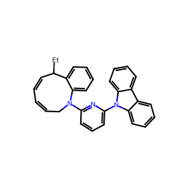 CCC1/C=C\C=C/CN(c2cccc(-n3c4ccccc4c4ccccc43)n2)c2ccccc21